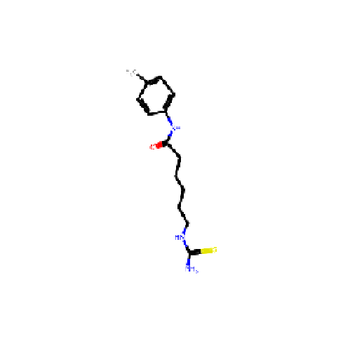 NC(=S)NCCCCCC(=O)Nc1ccc(C(F)(F)F)cc1